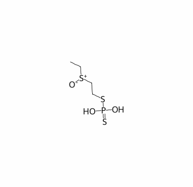 CC[S+]([O-])CCSP(O)(O)=S